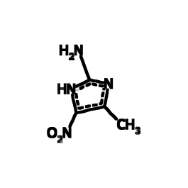 Cc1nc(N)[nH]c1[N+](=O)[O-]